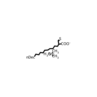 CCCCCCCCCCCCCCCCCCCCC(C=S)C(=O)[O-].[CH3][Sn+]([CH3])[CH3]